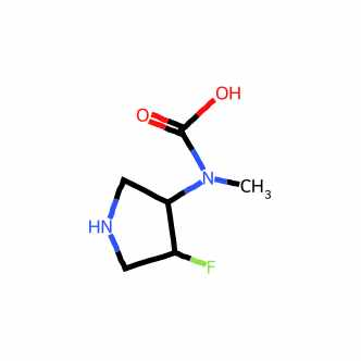 CN(C(=O)O)C1CNCC1F